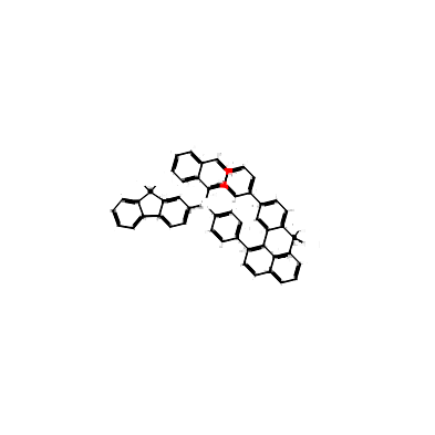 CC1(C)c2ccccc2-c2ccc(N(c3ccc(-c4ccc5cccc6c5c4-c4cc(-c5ccccc5)ccc4C6(C)C)cc3)c3cccc4ccccc34)cc21